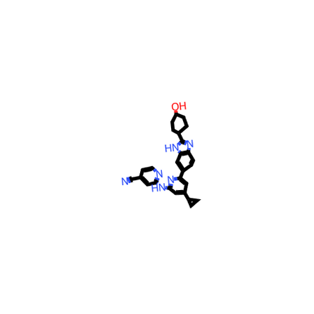 N#Cc1ccnc(Nc2cc(C3CC3)cc(-c3ccc4nc(C5CCC(O)CC5)[nH]c4c3)n2)c1